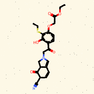 CCOC(=O)COc1ccc(C(=O)CN2C=C3C=CC(C#N)C(=O)C3C2)c(O)c1SCC